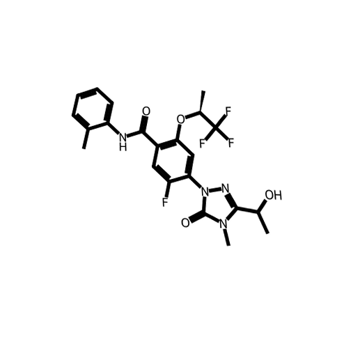 Cc1ccccc1NC(=O)c1cc(F)c(-n2nc(C(C)O)n(C)c2=O)cc1O[C@@H](C)C(F)(F)F